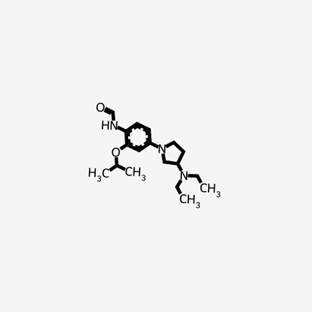 CCN(CC)C1CCN(c2ccc(NC=O)c(OC(C)C)c2)C1